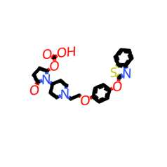 O=C(O)OC1CCC(=O)N1C1CCN(CCOc2ccc(Oc3nc4ccccc4s3)cc2)CC1